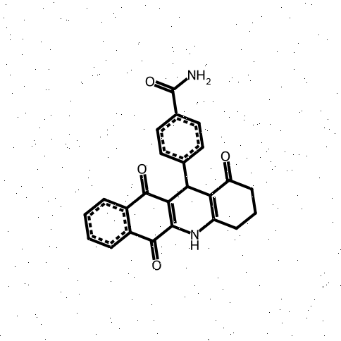 NC(=O)c1ccc(C2C3=C(CCCC3=O)NC3=C2C(=O)c2ccccc2C3=O)cc1